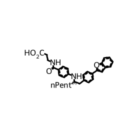 CCCCC[C@H](Cc1ccc(-c2cc3ccccc3o2)cc1)Nc1ccc(C(=O)NCCC(=O)O)cc1